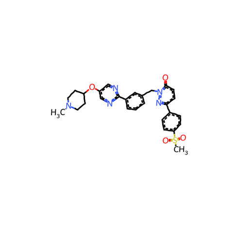 CN1CCC(Oc2cnc(-c3cccc(Cn4nc(-c5ccc(S(C)(=O)=O)cc5)ccc4=O)c3)nc2)CC1